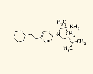 CC(C)=CCN(CC(C)(C)N)c1ccc(CCC2CCCCC2)cc1